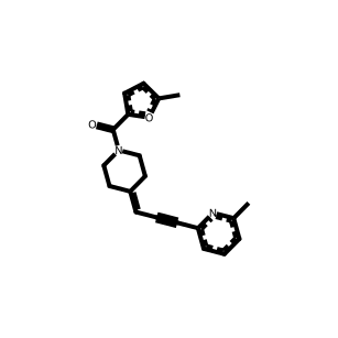 Cc1cccc(C#CC=C2CCN(C(=O)c3ccc(C)o3)CC2)n1